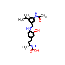 CC(=O)Nc1cc(CNc2ccc(CC[C@H](C)NC(=O)O)cc2O)cc(C(C)C)c1